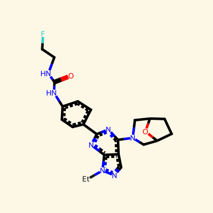 CCn1ncc2c(N3CC4CCC(C3)O4)nc(-c3ccc(NC(=O)NCCF)cc3)nc21